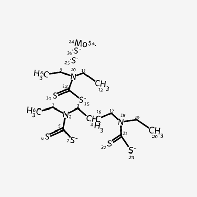 CCN(CC)C(=S)[S-].CCN(CC)C(=S)[S-].CCN(CC)C(=S)[S-].[Mo+5].[S-].[S-]